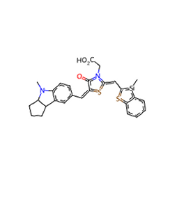 CN1c2ccc(/C=c3/s/c(=C\c4sc5ccccc5[si]4C)n(CC(=O)O)c3=O)cc2C2CCCC21